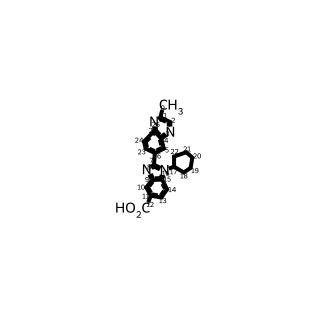 Cc1cnc2cc(-c3nc4cc(C(=O)O)ccc4n3C3CCCCC3)ccc2n1